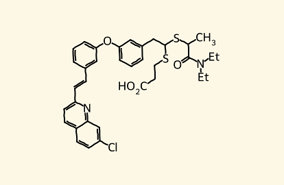 CCN(CC)C(=O)C(C)SC(Cc1cccc(Oc2cccc(C=Cc3ccc4ccc(Cl)cc4n3)c2)c1)SCCC(=O)O